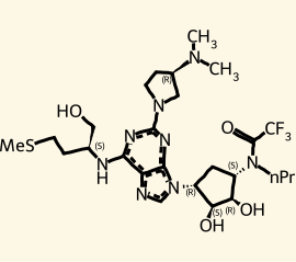 CCCN(C(=O)C(F)(F)F)[C@H]1C[C@@H](n2cnc3c(N[C@H](CO)CCSC)nc(N4CC[C@@H](N(C)C)C4)nc32)[C@H](O)[C@@H]1O